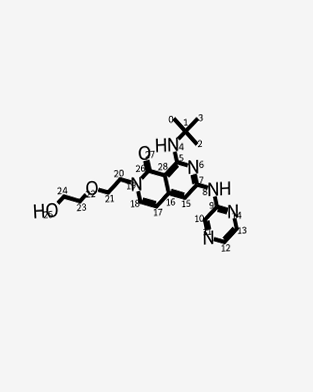 CC(C)(C)Nc1nc(Nc2cnccn2)cc2ccn(CCOCCO)c(=O)c12